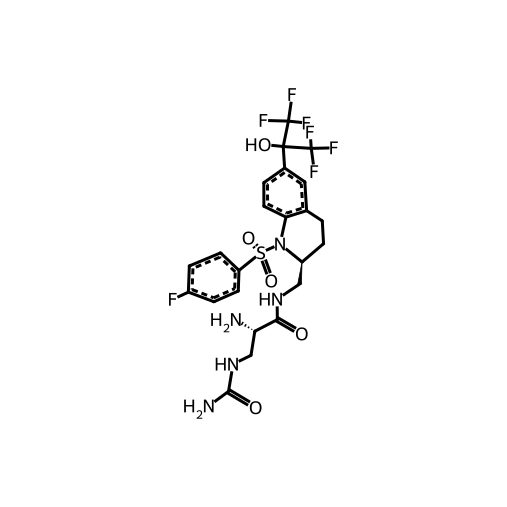 NC(=O)NC[C@H](N)C(=O)NC[C@@H]1CCc2cc(C(O)(C(F)(F)F)C(F)(F)F)ccc2N1S(=O)(=O)c1ccc(F)cc1